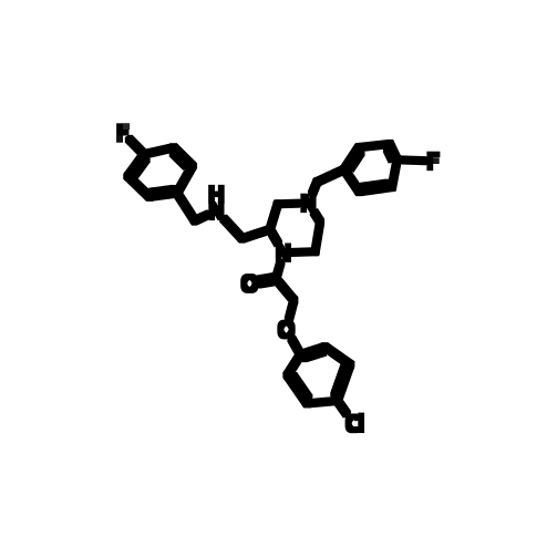 O=C(COc1ccc(Cl)cc1)N1CCN(Cc2ccc(F)cc2)CC1CNCc1ccc(F)cc1